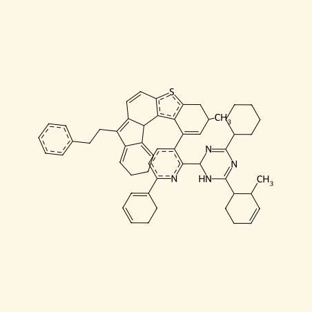 CC1C=C(c2ccc(C3=CC=CCC3)nc2C2N=C(C3CCCCC3)N=C(C3CCC=CC3C)N2)c2c(sc3c2C2C4=CCCC=C4C(CCc4ccccc4)=C2C=C3)C1